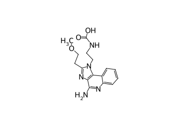 COCCc1nc2c(N)nc3ccccc3c2n1CCNC(=O)O